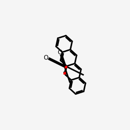 O=C1CC=C2c3ccccc3C=C3C=c4ccccc4=CC32C1=O